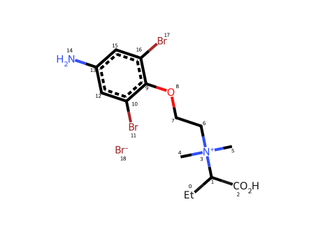 CCC(C(=O)O)[N+](C)(C)CCOc1c(Br)cc(N)cc1Br.[Br-]